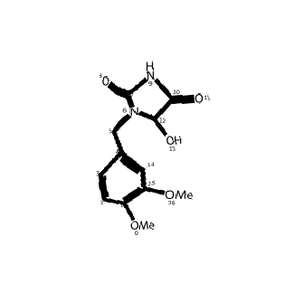 COc1ccc(CN2C(=O)NC(=O)C2O)cc1OC